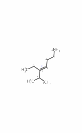 CC/C(=C\CCN)C(C)C